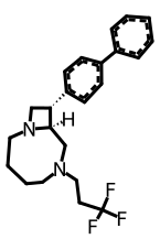 FC(F)(F)CCN1CCCCN2C[C@H](c3ccc(-c4ccccc4)cc3)[C@H]2C1